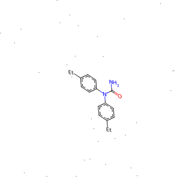 CCc1ccc(N(C(N)=O)c2ccc(CC)cc2)cc1